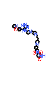 Nc1ncnc2c1c(-c1ccc(Oc3ccccc3)cc1)nn2C1CCCN(CC2CCN(CCCC3CCN(c4ccc5c(c4)CN(C4CCC(=O)NC4=O)C5=O)CC3)CC2)C1